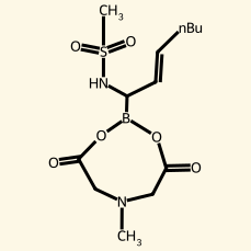 CCCC/C=C/C(NS(C)(=O)=O)B1OC(=O)CN(C)CC(=O)O1